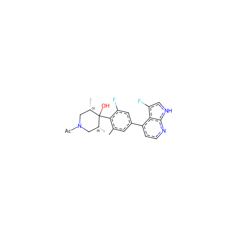 CC(=O)N1C[C@@H](C)C(O)(c2c(C)cc(-c3ccnc4[nH]cc(F)c34)cc2F)[C@@H](C)C1